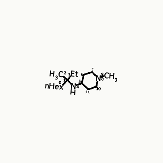 CCCCCCC(C)(CC)NC1CCN(C)CC1